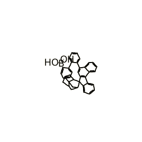 OB(O)c1ccccc1-c1ccccc1-c1cc2c(c3ccccc13)-c1ccccc1C21C2CC3CC(C2)CC1C3